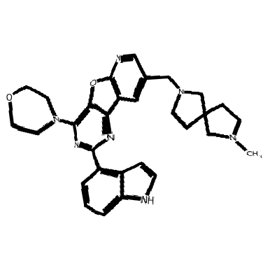 CN1CCC2(CCN(Cc3cnc4oc5c(N6CCOCC6)nc(-c6cccc7[nH]ccc67)nc5c4c3)C2)C1